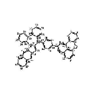 c1ccc2c(c1)Oc1cccc3nc(-c4ccc(N5c6ccccc6-c6ccccc6-n6c5cc5cc7ccccc7cc56)cc4)nc-2c13